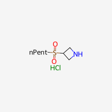 CCCCCS(=O)(=O)C1CNC1.Cl